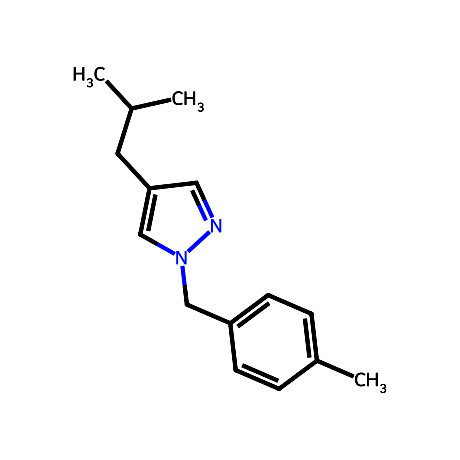 Cc1ccc(Cn2cc(CC(C)C)cn2)cc1